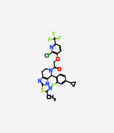 Cc1nn2c3c(nc2s1)CCN(C(=O)COc1ccc(C(F)(F)F)nc1Cl)C3c1ccc(C2CC2)cc1F